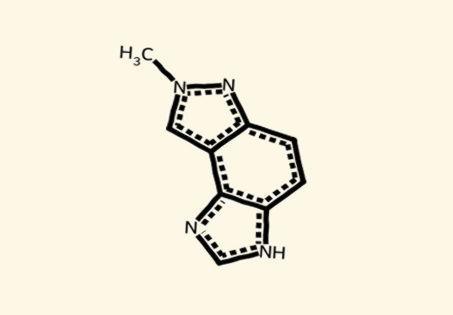 Cn1cc2c(ccc3[nH]cnc32)n1